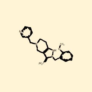 C=C1C2=C(CCN(Cc3cccnc3)C2)NN1Cc1ccccc1OC